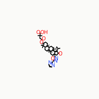 CC(C)C1=C2[C@H]3CCC4[C@@]5(C)CC[C@H](OC(=O)CC(C)(C)C(=O)O)C(C)(C)C5CC[C@@]4(C)[C@]3(C)CC[C@@]2(c2nnc(-c3ncccn3)o2)CC1=O